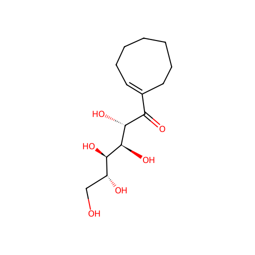 O=C(C1=CCCCCCC1)[C@@H](O)[C@@H](O)[C@H](O)[C@H](O)CO